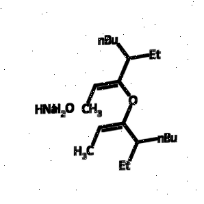 CC=C(OC(=CC)C(CC)CCCC)C(CC)CCCC.O.[NaH]